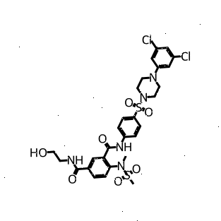 CN(c1ccc(C(=O)NCCO)cc1C(=O)Nc1ccc(S(=O)(=O)N2CCN(c3cc(Cl)cc(Cl)c3)CC2)cc1)S(C)(=O)=O